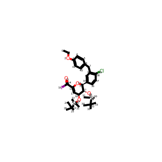 CCOc1ccc(Cc2cc([C@@H]3OC(C(=O)I)=C[C@H](O[Si](C)(C)C(C)(C)C)[C@H]3O[Si](C)(C)C(C)(C)C)ccc2Cl)cc1